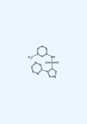 Cc1cccc(NS(=O)(=O)c2cncn2-c2cnccn2)c1